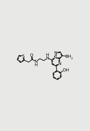 Bc1cnn2c(NCCNC(=O)Cc3cccs3)cc(-c3ccccc3O)nc12